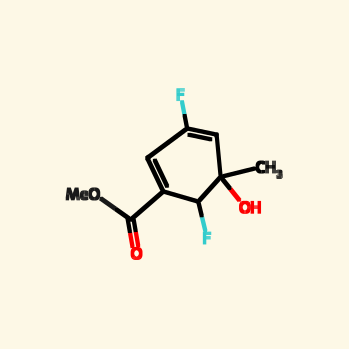 COC(=O)C1=CC(F)=CC(C)(O)C1F